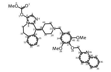 COC(=O)Oc1cnc2n1CCc1ccccc1C2=C1CCN(Cc2cc(OC)c(OCc3ccc4ccccc4n3)c(OC)c2)CC1